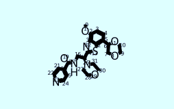 COc1ccc(C2COCCO2)c2sc(C(CNC(=O)c3ccncc3)N3CCOCC3)nc12